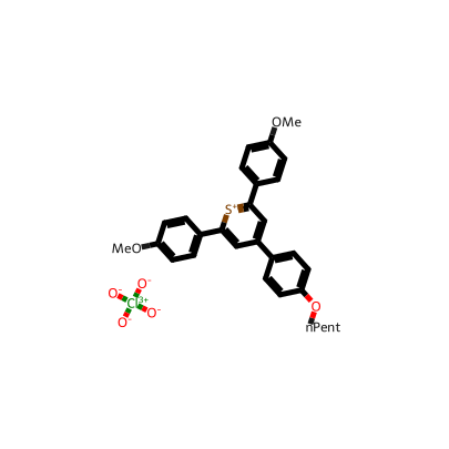 CCCCCOc1ccc(-c2cc(-c3ccc(OC)cc3)[s+]c(-c3ccc(OC)cc3)c2)cc1.[O-][Cl+3]([O-])([O-])[O-]